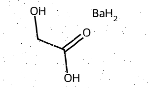 O=C(O)CO.[BaH2]